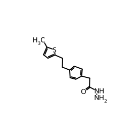 Cc1ccc(CCc2ccc(CC(=O)NN)cc2)s1